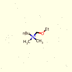 CCCC[N+](C)(C)COCC